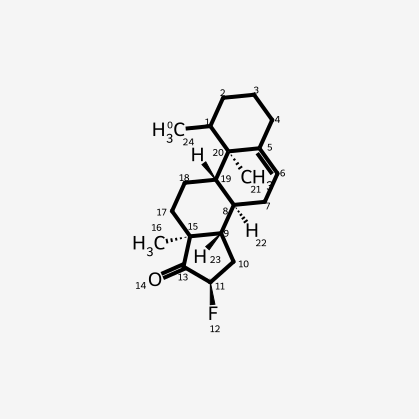 CC1CCCC2=CC[C@H]3[C@@H]4C[C@@H](F)C(=O)[C@@]4(C)CC[C@@H]3[C@]21C